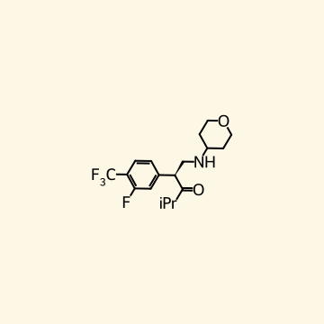 CC(C)C(=O)[C@H](CNC1CCOCC1)c1ccc(C(F)(F)F)c(F)c1